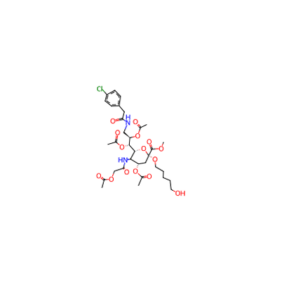 COC(=O)[C@@]1(OCCCCCO)C[C@H](OC(C)=O)[C@@H](NC(=O)COC(C)=O)[C@H]([C@H](OC(C)=O)[C@@H](CNC(=O)Cc2ccc(Cl)cc2)OC(C)=O)O1